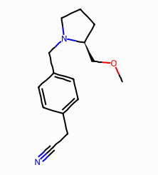 COC[C@@H]1CCCN1Cc1ccc(CC#N)cc1